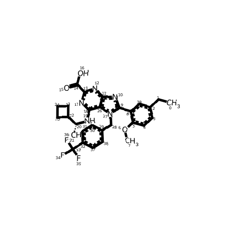 CCc1ccc(OC)c(-c2nc3nc(C(=O)O)nc(N[C@H](C)C4CCC4)c3n2Cc2ccc(C(F)(F)F)cc2)c1